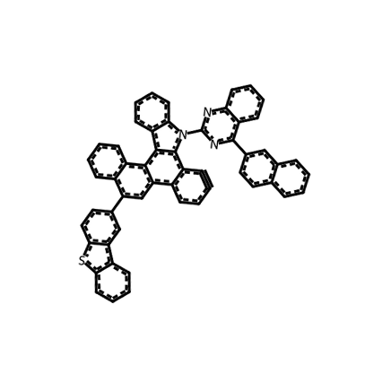 c1ccc2c(c#1)c1c(c3ccccc3n1-c1nc(-c3ccc4ccccc4c3)c3ccccc3n1)c1c3ccccc3c(-c3ccc4sc5ccccc5c4c3)cc21